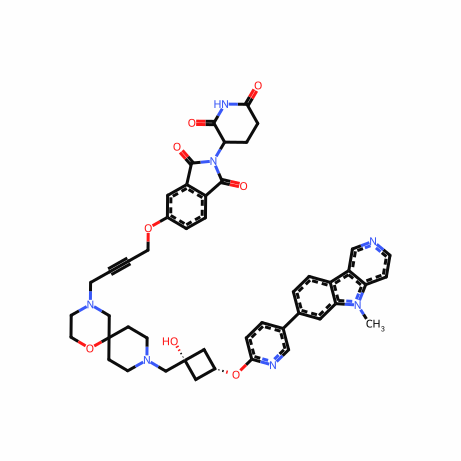 Cn1c2ccncc2c2ccc(-c3ccc(O[C@H]4C[C@](O)(CN5CCC6(CC5)CN(CC#CCOc5ccc7c(c5)C(=O)N(C5CCC(=O)NC5=O)C7=O)CCO6)C4)nc3)cc21